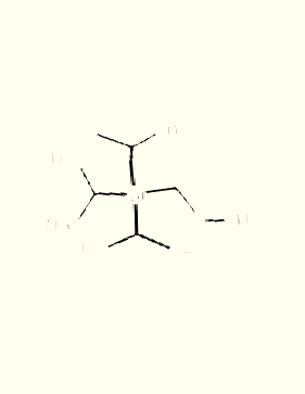 COC[Si](C(C)C)(C(C)C)C(C)C